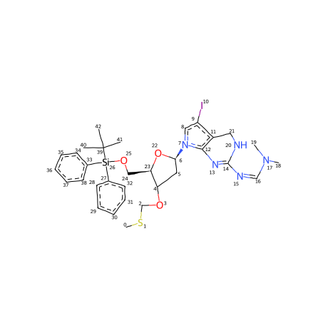 CSCOC1C[C@H](n2cc(I)c3c2N=C(/N=C\N(C)C)NC3)O[C@@H]1CO[Si](c1ccccc1)(c1ccccc1)C(C)(C)C